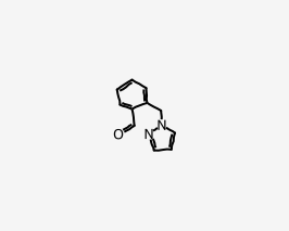 O=Cc1ccccc1Cn1cccn1